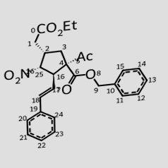 CCOC(=O)C[C@@H]1C[C@@](C(C)=O)(C(=O)OCc2ccccc2)[C@@H](/C=C/c2ccccc2)[C@@H]1[N+](=O)[O-]